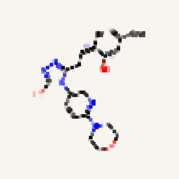 C=C(/C=C(O)\C(=C/Cc1nnc(O)n1-c1ccc(N2CCOCC2)nc1)C(C)C)OC